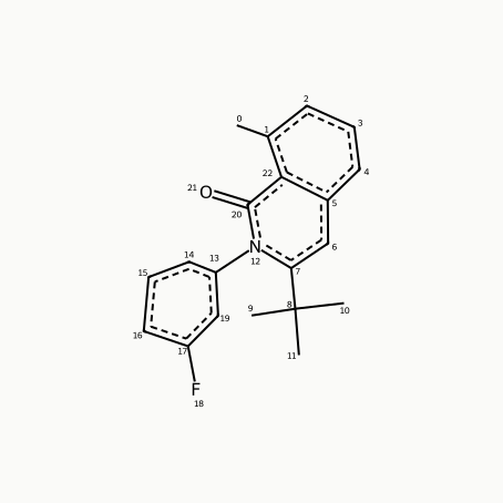 Cc1cccc2cc(C(C)(C)C)n(-c3cccc(F)c3)c(=O)c12